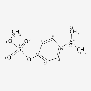 COS(=O)(=O)Oc1ccc([S+](C)C)cc1